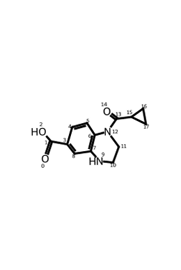 O=C(O)c1ccc2c(c1)NCCN2C(=O)C1CC1